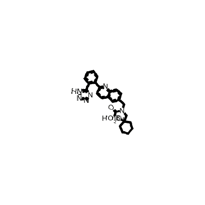 CCCCC(=O)N(Cc1ccc2nc(-c3ccccc3-c3nnn[nH]3)ccc2c1)CC1(C(=O)O)CCCCC1